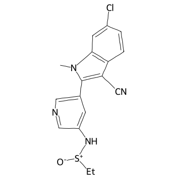 CC[S+]([O-])Nc1cncc(-c2c(C#N)c3ccc(Cl)cc3n2C)c1